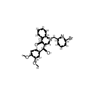 COc1ccc(C(=O)c2cn(Cc3cccc(Br)n3)c3ccccc3c2=O)cc1OC